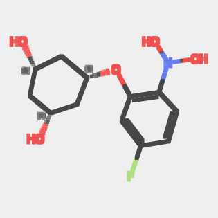 O[C@@H]1C[C@H](O)C[C@H](Oc2cc(F)ccc2N(O)O)C1